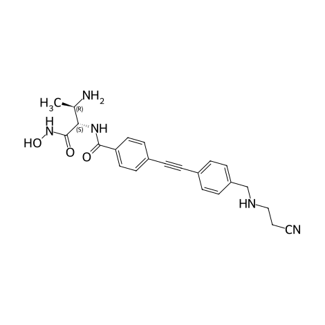 C[C@@H](N)[C@H](NC(=O)c1ccc(C#Cc2ccc(CNCCC#N)cc2)cc1)C(=O)NO